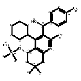 CC(C)c1nc2c(c(C3CCCCC3)c1[C@@H](O)c1ccc(C(F)(F)F)cc1)[C@@H](O[Si](C)(C)C(C)(C)C)CC(C)(C)C2